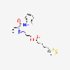 Cc1cccc(C)c1NC(=O)C1CCCCN1CCCOC(=O)CCCC[C@]1(C)CCSS1